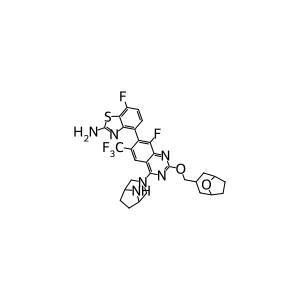 Nc1nc2c(-c3c(C(F)(F)F)cc4c(N5CC6CCC(C5)N6)nc(OCC5CC6CCC(C5)O6)nc4c3F)ccc(F)c2s1